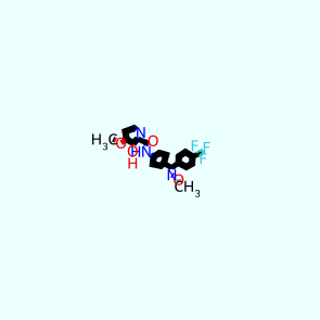 CO/N=C(/c1ccc(NC(=O)c2nccc(OC)c2O)cc1)c1ccc(C(F)(F)F)cc1